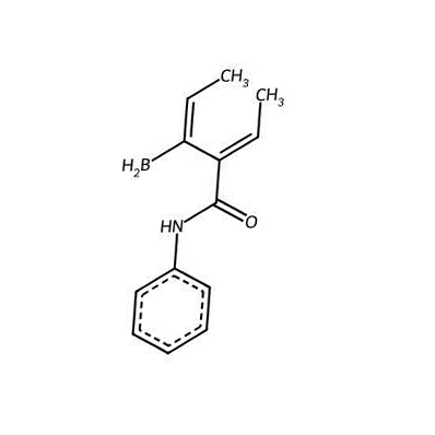 BC(=C/C)/C(=C\C)C(=O)Nc1ccccc1